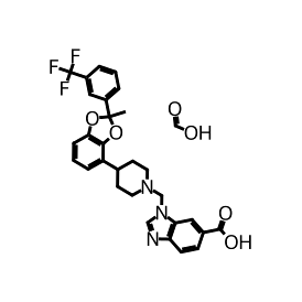 CC1(c2cccc(C(F)(F)F)c2)Oc2cccc(C3CCN(Cn4cnc5ccc(C(=O)O)cc54)CC3)c2O1.O=CO